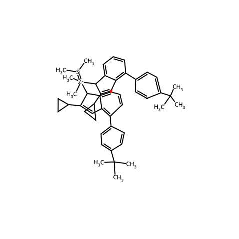 C[Si](C)=[Zr]([CH3])([CH3])([CH]1C(C2CC2)=Cc2c(-c3ccc(C(C)(C)C)cc3)cccc21)[CH]1C(C2CC2)=Cc2c(-c3ccc(C(C)(C)C)cc3)cccc21